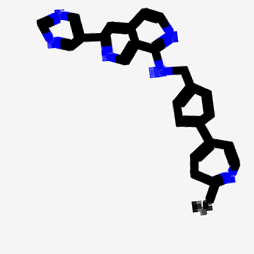 CC1=NC=CC(c2ccc(CNc3nccc4cc(-c5cncnc5)ncc34)cc2)=CC1